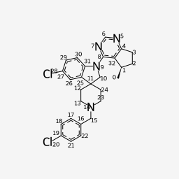 C[C@@H]1CCc2ncnc(N3CC4(CCN(Cc5ccc(Cl)cc5)CC4)c4cc(Cl)ccc43)c21